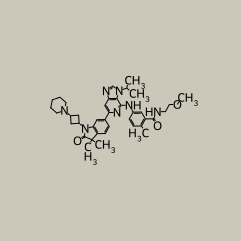 COCCNC(=O)c1cc(Nc2nc(-c3ccc4c(c3)N([C@H]3C[C@@H](N5CCCCC5)C3)C(=O)C4(C)C)cc3ncn(C(C)C)c23)ccc1C